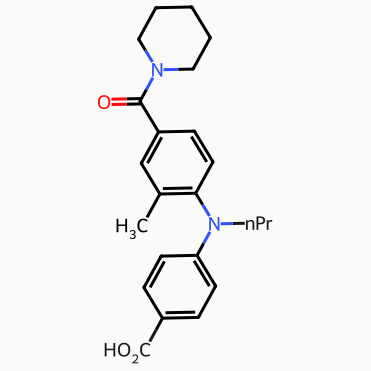 CCCN(c1ccc(C(=O)O)cc1)c1ccc(C(=O)N2CCCCC2)cc1C